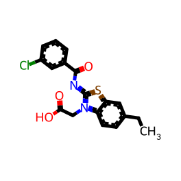 CCc1ccc2c(c1)sc(=NC(=O)c1cccc(Cl)c1)n2CC(=O)O